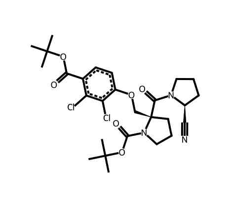 CC(C)(C)OC(=O)c1ccc(OC[C@@]2(C(=O)N3CCC[C@H]3C#N)CCCN2C(=O)OC(C)(C)C)c(Cl)c1Cl